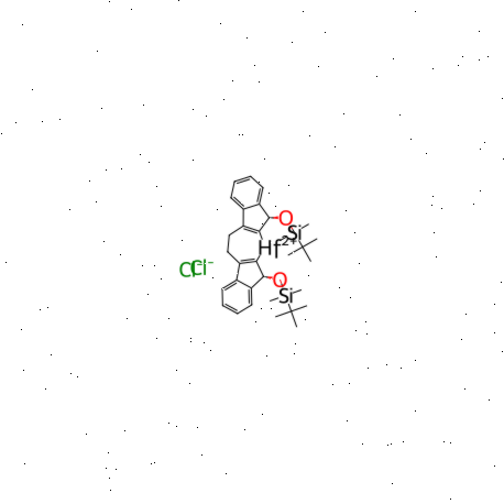 CC(C)(C)[Si](C)(C)O[C@@H]1[C]2=C(CCC3=[C]([Hf+2]2)[C@H](O[Si](C)(C)C(C)(C)C)c2ccccc23)c2ccccc21.[Cl-].[Cl-]